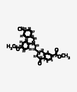 COC(=O)c1ccc2c(c1)CN(CCN(Cc1ccc(Cl)cc1)c1ccc(OC)cc1)CC2=O